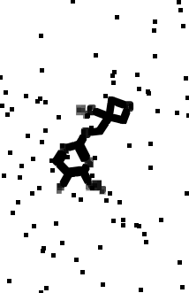 CC1(COc2ncc(F)c(N)n2)COC1